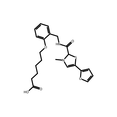 CN1C=C(c2ccco2)SC1C(=O)NCc1ccccc1OCCCCCC(=O)O